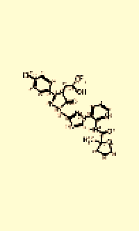 CC1(C(=O)Nc2ncccc2-n2cnc(Cn3nc(-c4ccc(Cl)cc4)n(C[C@H](O)C(F)(F)F)c3=O)n2)CCCO1